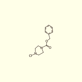 O=C(OCc1ccccc1)N1CCN(Cl)CC1